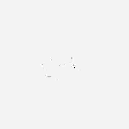 CO[C@@H](C)c1n[c]no1